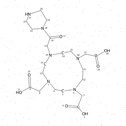 O=C(O)CN1CCN(CC(=O)O)CCN(CC(=O)N2CCNCC2)CCN(CC(=O)O)CC1